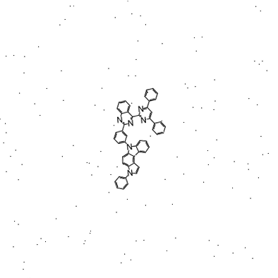 c1ccc(-c2cc(-c3ccccc3)nc(-c3nc(-c4cccc(-n5c6ccccc6c6c7ccn(-c8ccccc8)c7ccc65)c4)nc4ccccc34)n2)cc1